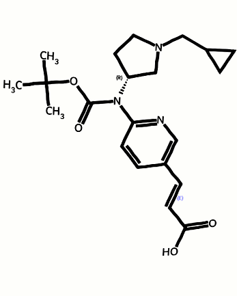 CC(C)(C)OC(=O)N(c1ccc(/C=C/C(=O)O)cn1)[C@@H]1CCN(CC2CC2)C1